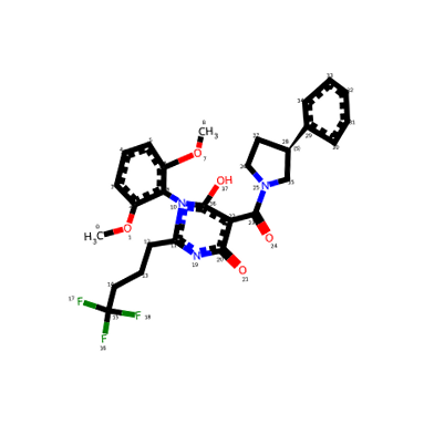 COc1cccc(OC)c1-n1c(CCCC(F)(F)F)nc(=O)c(C(=O)N2CC[C@@H](c3ccccc3)C2)c1O